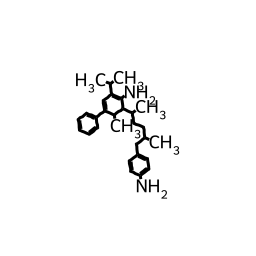 CC(CCC(C)C1C(N)=C(C(C)C)C=C(c2ccccc2)C1C)Cc1ccc(N)cc1